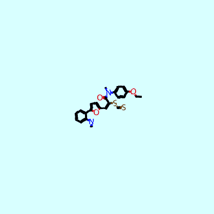 C=Nc1ccccc1-c1ccc(/C=C(/SC=S)C(=O)N(C)c2ccc(OCC)cc2)o1